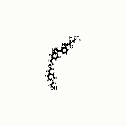 O=C(NCC(F)(F)F)Nc1cccc(-c2cnc3cc(/C=N/OCCC4CCN(CCO)CC4)ccn23)c1